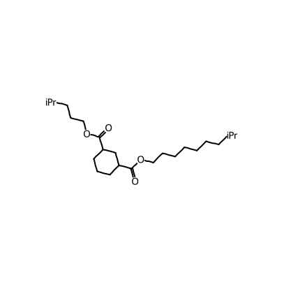 CC(C)CCCCCCCOC(=O)C1CCCC(C(=O)OCCCC(C)C)C1